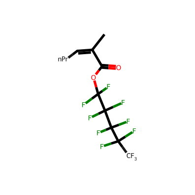 CCCC=C(C)C(=O)OC(F)(F)C(F)(F)C(F)(F)C(F)(F)C(F)(F)F